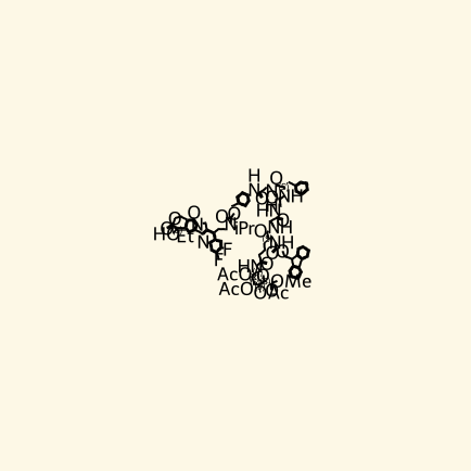 CC[C@@]1(O)C(=O)OCc2c1cc1n(c2=O)Cc2c-1nc1cc(F)c(F)cc1c2CCN(C(=O)OCc1ccc(NC(=O)CNC(=O)[C@H](Cc2ccccc2)NC(=O)CNC(=O)CNC(=O)[C@H](CCCC(=O)N[C@H]2O[C@H](C(=O)OC)[C@@H](OC(C)=O)[C@H](OC(C)=O)[C@H]2OC(C)=O)NC(=O)OCC2c3ccccc3-c3ccccc32)cc1)C(C)C